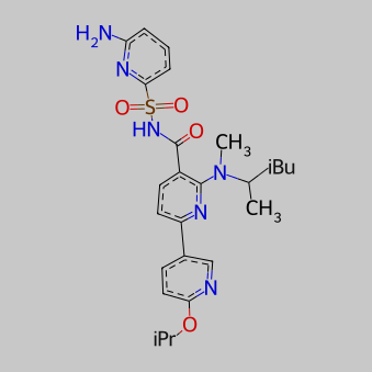 CCC(C)C(C)N(C)c1nc(-c2ccc(OC(C)C)nc2)ccc1C(=O)NS(=O)(=O)c1cccc(N)n1